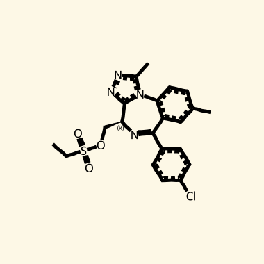 CCS(=O)(=O)OC[C@@H]1N=C(c2ccc(Cl)cc2)c2cc(C)ccc2-n2c(C)nnc21